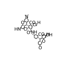 CN(C)c1ccc2c(-c3c(Cl)c(C(=O)NCc4ccc(-c5c6ccc(=O)cc-6oc6cc(O)ccc56)c(C(=O)O)c4)cc(Cl)c3C(=O)O)c3ccc(=N)cc-3oc2c1